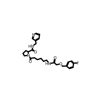 O=C(COCc1ccc(F)cc1)NCCCCCC(=O)N1CCCC1C(=O)NCc1cccnc1